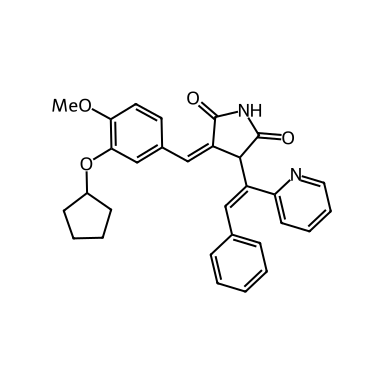 COc1ccc(C=C2C(=O)NC(=O)C2C(=Cc2ccccc2)c2ccccn2)cc1OC1CCCC1